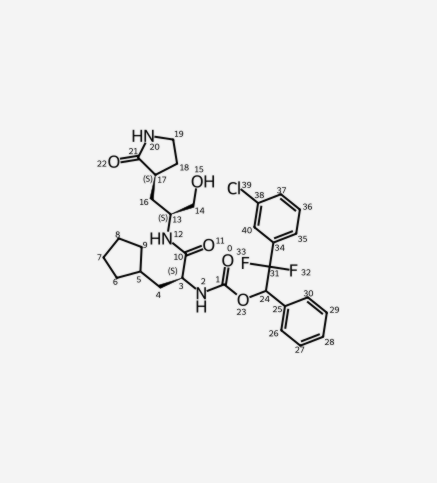 O=C(N[C@@H](CC1CCCC1)C(=O)N[C@H](CO)C[C@@H]1CCNC1=O)OC(c1ccccc1)C(F)(F)c1cccc(Cl)c1